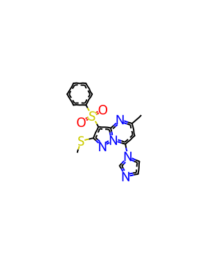 CSc1nn2c(-n3ccnc3)cc(C)nc2c1S(=O)(=O)c1ccccc1